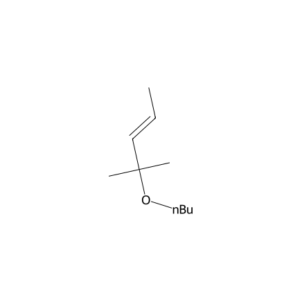 C/C=C/C(C)(C)OCCCC